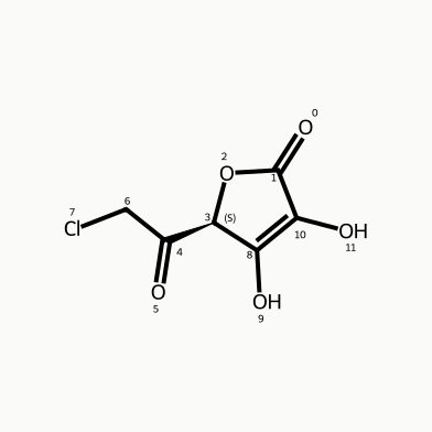 O=C1O[C@H](C(=O)CCl)C(O)=C1O